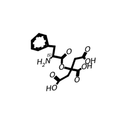 N[C@@H](Cc1ccccc1)C(=O)OC(CC(=O)O)(CC(=O)O)C(=O)O